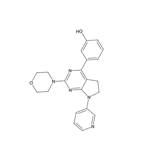 Oc1cccc(-c2nc(N3CCOCC3)nc3c2CCN3c2cccnc2)c1